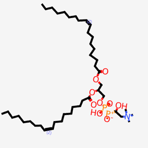 CCCCCCCC/C=C\CCCCCCCC(=O)OCC(COP(=O)(O)[P+]([O-])=C(O)C[N+](C)(C)C)OC(=O)CCCCCCC/C=C\CCCCCCCC